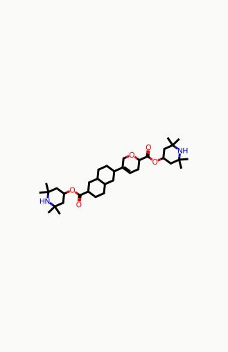 CC1(C)CC(OC(=O)C2CCC3CC(C4=CCC(C(=O)OC5CC(C)(C)NC(C)(C)C5)OC4)CCC3C2)CC(C)(C)N1